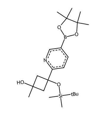 CC1(O)CC(O[Si](C)(C)C(C)(C)C)(c2ccc(B3OC(C)(C)C(C)(C)O3)cn2)C1